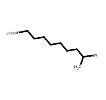 [CH2]C(CCCCCCCCCCCCCC)C(C)C